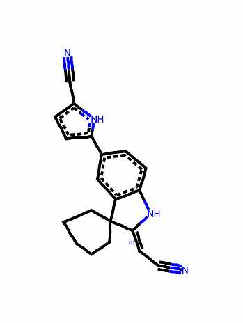 N#C/C=C1\Nc2ccc(-c3ccc(C#N)[nH]3)cc2C12CCCCC2